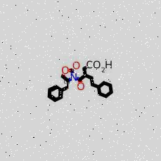 O=C(O)CC(CCC1CCCCC1)C(=O)N1C(=O)OC[C@@H]1Cc1ccccc1